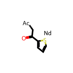 CC(=O)CC(=O)c1cccs1.[Nd]